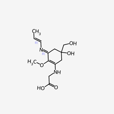 C/C=C/N=C1\CC(O)(CO)CC(NCC(=O)O)=C1OC